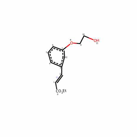 CCOC(=O)/C=C/c1cccc(OCCO)c1